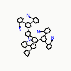 N#Cc1ccccc1-c1cc(-c2ccc3c(c2)c2cc(-c4cc(-c5ccccc5C#N)cc(-c5ccccc5C#N)c4)ccc2n3-c2ccccc2-c2ccccc2-c2ccccc2)cc(-c2ccccc2C#N)c1